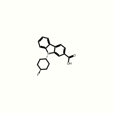 O=C(O)c1ccc2c3ccccc3n([C@H]3CC[C@H](F)CC3)c2c1